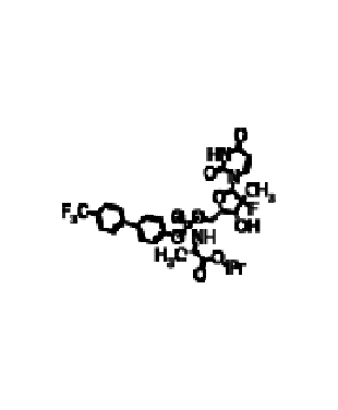 CC(C)OC(=O)[C@H](C)N[P@@](=O)(OC[C@H]1O[C@@H](n2ccc(=O)[nH]c2=O)[C@](C)(F)[C@@H]1O)Oc1ccc(-c2ccc(C(F)(F)F)cc2)cc1